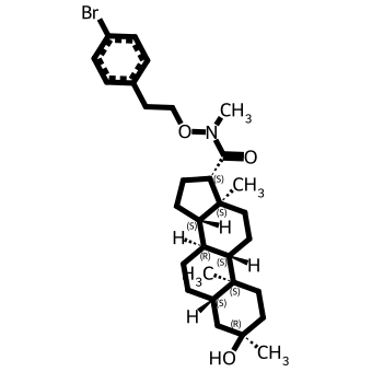 CN(OCCc1ccc(Br)cc1)C(=O)[C@H]1CC[C@H]2[C@@H]3CC[C@H]4C[C@](C)(O)CC[C@]4(C)[C@H]3CC[C@]12C